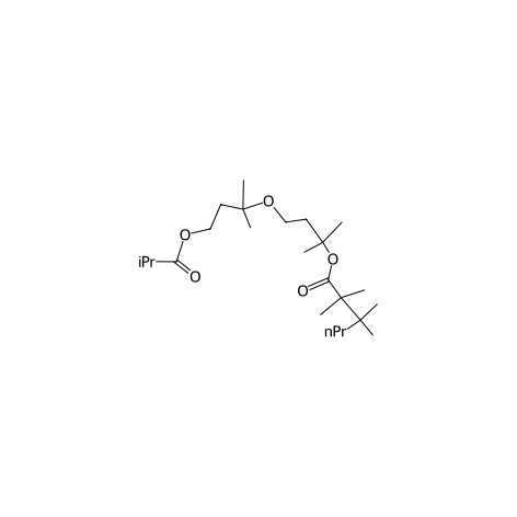 CCCC(C)(C)C(C)(C)C(=O)OC(C)(C)CCOC(C)(C)CCOC(=O)C(C)C